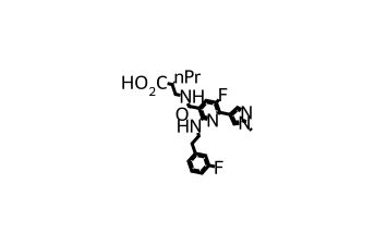 CCC[C@H](CNC(=O)c1cc(F)c(-c2cnn(C)c2)nc1NCCc1cccc(F)c1)C(=O)O